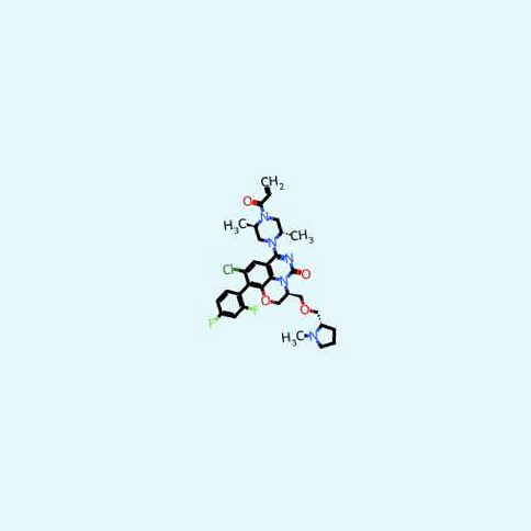 C=CC(=O)N1C[C@H](C)N(c2nc(=O)n3c4c(c(-c5ccc(F)cc5F)c(Cl)cc24)OC[C@@H]3COC[C@@H]2CCCN2C)C[C@H]1C